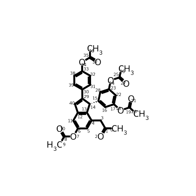 CC(=O)Cc1cc(OC(C)=O)cc2c1[C@@H](c1cc(OC(C)=O)cc(OC(C)=O)c1)C(c1ccc(OC(C)=O)cc1)=C2